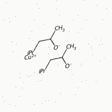 CC(C)CC(C)[O-].CC(C)CC(C)[O-].[Cu+2]